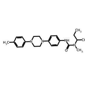 CCC(C)N(C)C(=O)Nc1ccc(N2CCN(c3ccc(C)cc3)CC2)cc1